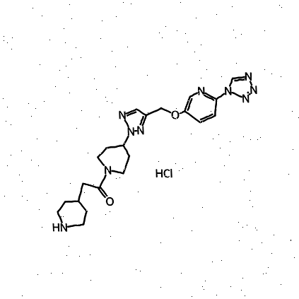 Cl.O=C(CC1CCNCC1)N1CCC(n2ncc(COc3ccc(-n4cnnn4)nc3)n2)CC1